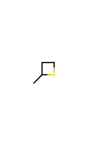 C[C]1CCS1